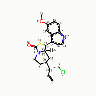 C=C[C@@H](CCl)[C@H]1CCN2C(=O)S[C@@H](c3ccnc4ccc(OC)cc34)[C@@H]2C1